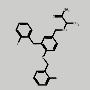 CC(NCc1ccc(OCc2ccccc2F)c(Cc2ccccc2F)c1)C(N)=O